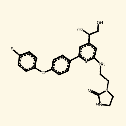 O=C1NCCN1CCNc1cc(C(O)CO)cc(-c2ccc(Oc3ccc(F)cc3)cc2)n1